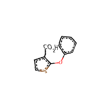 O=C(O)c1ccsc1Oc1ccccc1